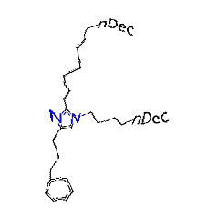 CCCCCCCCCCCCCCCCCc1nc(CCCc2ccccc2)cn1CCCCCCCCCCCCCC